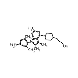 Bc1cc(C)c(-n2c(C)c(C)c3c(N4CCC(CCCO)CC4)nc(C)nc32)c(C)c1